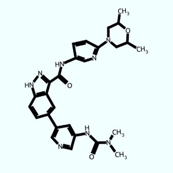 CC1CN(c2ccc(NC(=O)c3n[nH]c4ccc(-c5cncc(NC(=O)N(C)C)c5)cc34)cn2)CC(C)O1